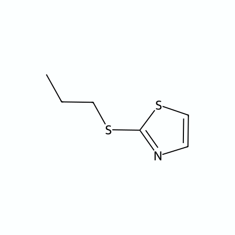 CCCSc1nccs1